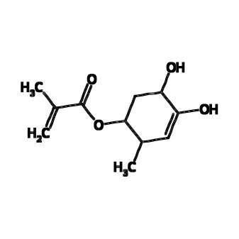 C=C(C)C(=O)OC1CC(O)C(O)=CC1C